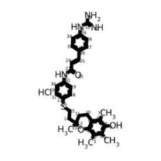 Cc1c(C)c2c(c(C)c1O)CCC(C)(CCSc1ccc(NC(=O)/C=C/c3ccc(NC(=N)N)cc3)cc1)O2.Cl